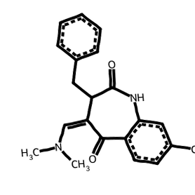 CN(C)C=C1C(=O)c2ccc(Cl)cc2NC(=O)C1Cc1ccccc1